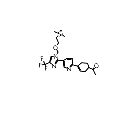 CC(=O)C1CC=C(c2ccc(-c3nc(C(F)(F)F)cn3COCC[Si](C)(C)C)cn2)CC1